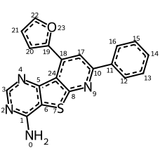 Nc1ncnc2c1sc1nc(-c3ccccc3)cc(-c3ccco3)c12